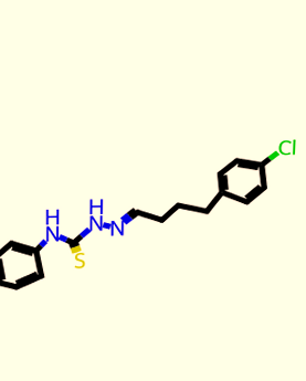 S=C(NN=CCCCc1ccc(Cl)cc1)Nc1ccccc1